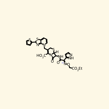 CCOC(=O)CO/N=C(/C(=O)NC1C(=O)N2C(C(=O)O)=C(CN3C=CC=C4SC(c5cccs5)N=C43)CS[C@H]12)c1ccn[nH]1